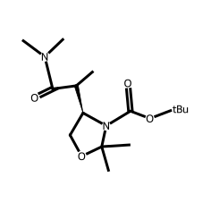 CC(C(=O)N(C)C)[C@@H]1COC(C)(C)N1C(=O)OC(C)(C)C